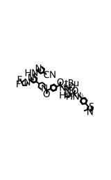 Cc1ncsc1-c1ccc([C@H](C)NC(=O)[C@@H]2CCCN2C(=O)[C@@H](NC(=O)c2ccc(C(=O)N3CCC(c4cc(Nc5cc(C#N)ccn5)nc(N5CCC(F)(F)C5)c4)CC3)cc2)C(C)(C)C)cc1